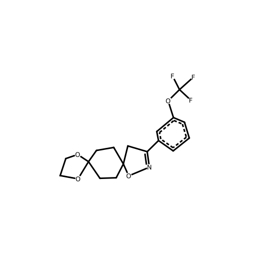 FC(F)(F)Oc1cccc(C2=NOC3(CCC4(CC3)OCCO4)C2)c1